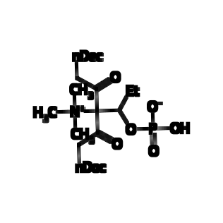 CCCCCCCCCCCC(=O)C(C(=O)CCCCCCCCCCC)(C(CC)OP(=O)([O-])O)[N+](C)(C)C